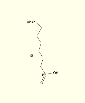 CCCCCCCCCCCC[PH](=O)O.[Ni]